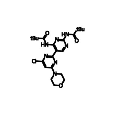 CC(C)(C)C(=O)Nc1ncc(-c2nc(Cl)cc(N3CCOCC3)n2)c(NC(=O)C(C)(C)C)n1